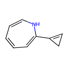 C1=CC=C(C2=CC2)NC=C1